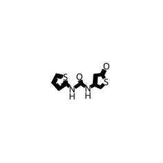 O=C(NC1=CC(=O)SC1)Nc1cccs1